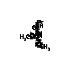 Cc1ccc(-n2c(CCC(=O)NCC(C)C)nnc2SCc2cccc(C)c2)cc1